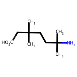 CC(C)(N)CCC(C)(C)CC(=O)O